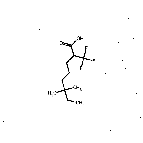 CCC(C)(C)CCCC(C(=O)O)C(F)(F)F